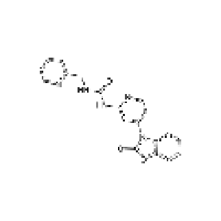 O=C(NCc1ccccn1)Nc1cc(-n2c(=O)oc3ccccc32)ccn1